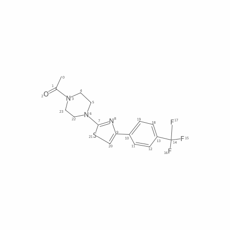 CC(=O)N1CCN(c2nc(-c3ccc(C(F)(F)F)cc3)cs2)CC1